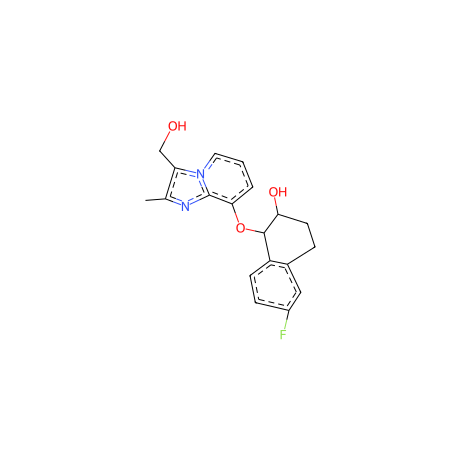 Cc1nc2c(OC3c4ccc(F)cc4CCC3O)cccn2c1CO